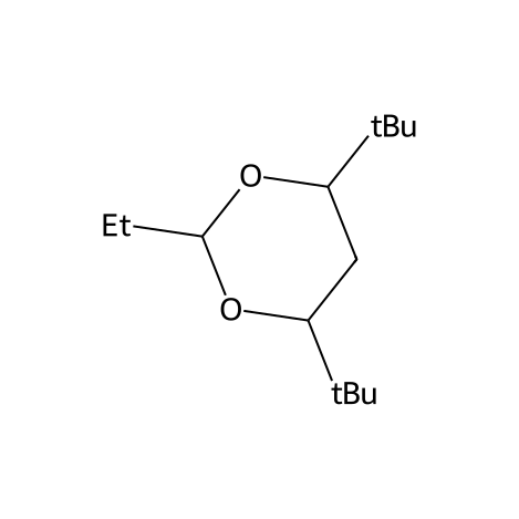 CCC1OC(C(C)(C)C)CC(C(C)(C)C)O1